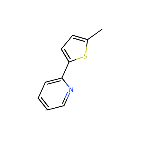 Cc1ccc(-c2cc[c]cn2)s1